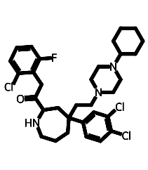 O=C(Cc1c(F)cccc1Cl)C1CC(CCN2CCN(C3CCCCC3)CC2)(c2ccc(Cl)c(Cl)c2)CCCN1